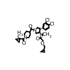 CN(C(=O)COCC1CC1)[C@H]1CN(C(=O)C2CCN(C(=O)C3(C)CC3)CC2)C[C@@H]1c1ccc(Cl)c(Cl)c1